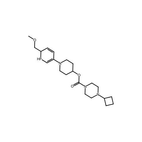 COCC1C=CC(N2CCC(OC(=O)N3CCN(C4CCC4)CC3)CC2)=CP1